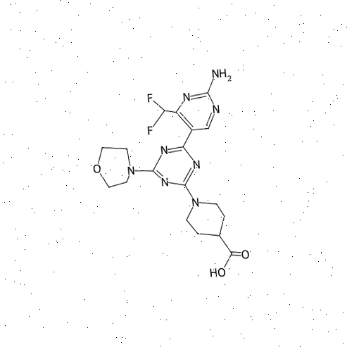 Nc1ncc(-c2nc(N3CCOCC3)nc(N3CCC(C(=O)O)CC3)n2)c(C(F)F)n1